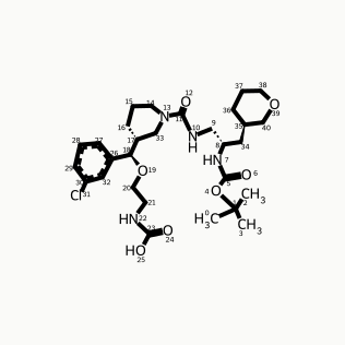 CC(C)(C)OC(=O)N[C@H](CNC(=O)N1CCC[C@@H]([C@@H](OCCNC(=O)O)c2cccc(Cl)c2)C1)C[C@H]1CCCOC1